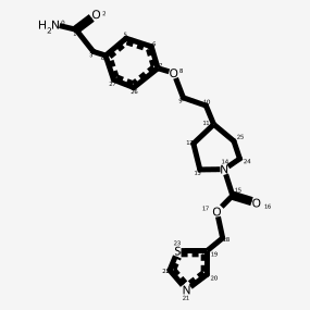 NC(=O)Cc1ccc(OCCC2CCN(C(=O)OCc3cncs3)CC2)cc1